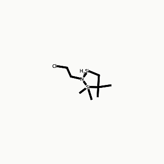 CC1(C)C[SiH2]N(CCCl)[Si]1(C)C